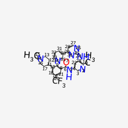 Cc1ncc(NC(=O)c2cc(C3CCN(C)CC3)cc(C(F)(F)F)c2)cc1Nc1nccc(-c2cccnc2)n1